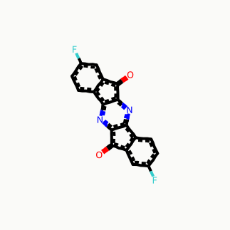 O=c1c2cc(F)ccc2c2nc3c(=O)c4cc(F)ccc4c3nc12